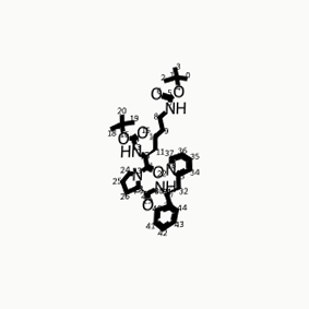 CC(C)(C)OC(=O)NCCCC[C@H](NC(=O)OC(C)(C)C)C(=O)N1CCC[C@H]1C(=O)N[C@@H](Cc1ccccn1)c1ccccc1